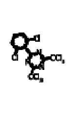 Clc1cccc(Cl)c1-c1nc(C(Cl)(Cl)Cl)nc(C(Cl)(Cl)Cl)n1